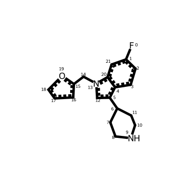 Fc1ccc2c(C3CCNCC3)cn(Cc3ccco3)c2c1